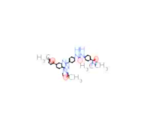 Cc1ccc(-c2ccc3c(N4CCOC(C)C4)nc(-c4ccc(NC(=O)Nc5ccc(C(=O)N(C)C)cc5)cc4)nc3c2)o1